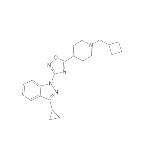 c1ccc2c(c1)c(C1CC1)nn2-c1noc(C2CCN(CC3CCC3)CC2)n1